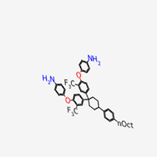 CCCCCCCCc1ccc(C2CCC(c3ccc(Oc4ccc(N)cc4)c(C(F)(F)F)c3)(c3ccc(Oc4ccc(N)cc4)c(C(F)(F)F)c3)CC2)cc1